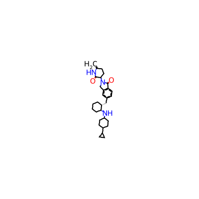 C=C1CCC(N2Cc3cc(C[C@H]4CCCC[C@@H]4NC4CCC(C5CC5)CC4)ccc3C2=O)C(=O)N1